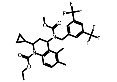 CCOC(=O)N1c2ccc(C)c(C)c2C(N(Cc2cc(C(F)(F)F)cc(C(F)(F)F)c2)C(=O)OC)CC1C1CC1